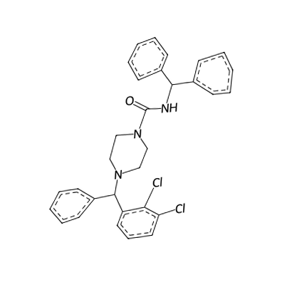 O=C(NC(c1ccccc1)c1ccccc1)N1CCN(C(c2ccccc2)c2cccc(Cl)c2Cl)CC1